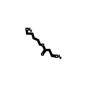 C=CCC(=O)OCCCCCC